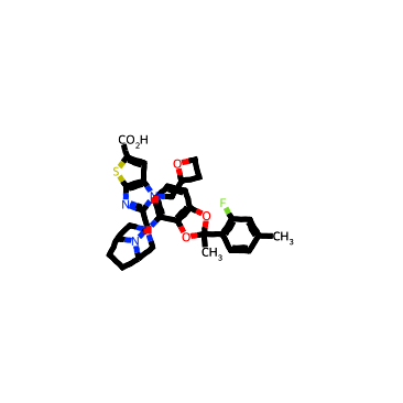 Cc1ccc(C2(C)Oc3cccc(N4CC5CCC(C4)N5Cc4nc5sc(C(=O)O)cc5n4CC4CCO4)c3O2)c(F)c1